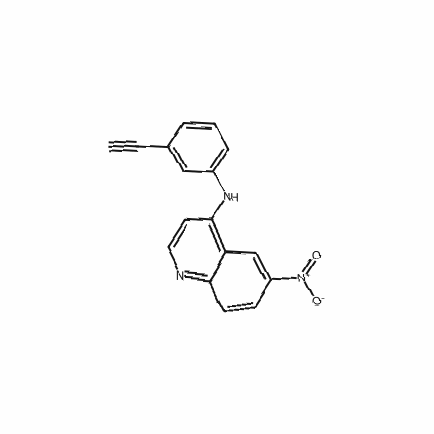 C#Cc1cccc(Nc2ccnc3ccc([N+](=O)[O-])cc23)c1